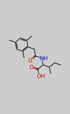 CCC(C)C(NC(=O)Cc1c(C)cc(C)cc1C)C(=O)O